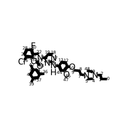 CCCN1CCN(CCCOc2ccc(Nc3nccc(N(Cc4cc(Cl)ccc4F)C(=O)Oc4c(C)cc(C)cc4C)n3)cc2OC)CC1